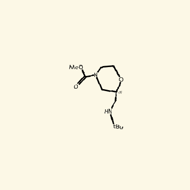 COC(=O)N1CCO[C@@H](CNC(C)(C)C)C1